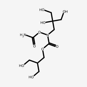 NC(=O)ON(CC(O)(CO)CO)C(=O)OCC(CO)CO